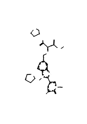 COC(C)C(NCc1ccc2c(c1)nc(-c1cc(C)c(=O)n(C)c1)n2C[C@@H]1CCCO1)C(=O)O[C@@H]1CCOC1